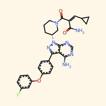 NC(=O)/C(=C\C1CC1)C(=O)N1CCC[C@@H](n2nc(-c3ccc(Oc4cccc(F)c4)cc3)c3c(N)ncnc32)C1